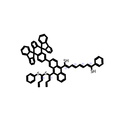 C=C/C=C(\S/C(=C/C=C)Sc1ccccc1)c1c2ccccc2c(/C(S)=C/C=C/C=C/C=C(\S)c2ccccc2)c2ccc(-c3ccc4c(c3)C3(c5ccccc5C5C=CC=CC53)c3ccccc3C43c4ccccc4-c4ccccc43)cc12